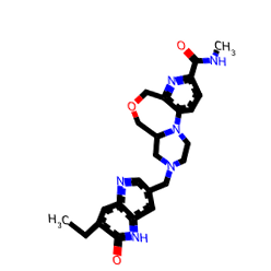 CCc1cc2ncc(CN3CCN4c5ccc(C(=O)NC)nc5COCC4C3)cc2[nH]c1=O